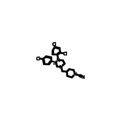 N#CN1CCC(CN2CCN(c3ccc(Cl)cc3Cl)[C@H](c3ccc(Cl)cc3)C2)CC1